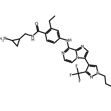 CCc1cc(Nc2nccn3c(-c4cn(CCF)nc4C(F)(F)F)cnc23)ccc1C(=O)NCC1CC1N